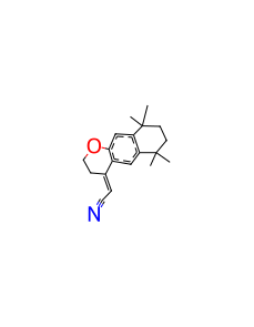 CC1(C)CCC(C)(C)c2cc3c(cc21)OCCC3=CC#N